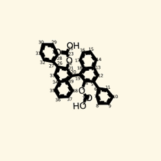 O=C(O)Oc1c(-c2ccccc2)cc2ccccc2c1-c1c(OC(=O)O)c(-c2ccccc2)cc2ccccc12